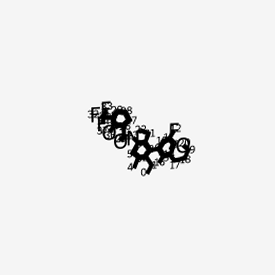 CCc1c(C)cc2c(c1-c1cc(F)c3c(c1C)CCCO3)CCN2C(=O)c1cccc(C(F)(F)F)c1OC